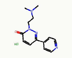 CN(C)CCn1nc(-c2ccncc2)ccc1=O.Cl